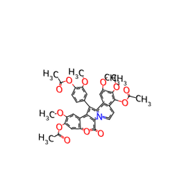 COc1cc(-c2c3c4cc(OC)c(OC(C)=O)cc4oc(=O)c3n3ccc4c(OC(C)=O)c(OC)c(OC)cc4c23)ccc1OC(C)=O